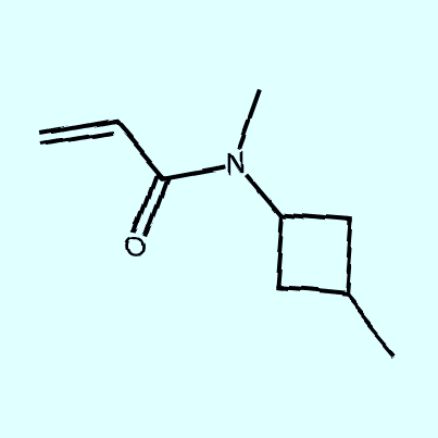 C=CC(=O)N(C)C1CC(C)C1